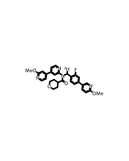 [2H]C(c1ccc(-c2ccc(OC)nc2)cc1F)N(C(=O)C1CCOCC1)c1cc(-c2ccnc(OC)c2)ccn1